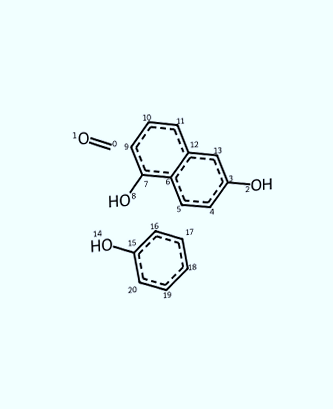 C=O.Oc1ccc2c(O)cccc2c1.Oc1ccccc1